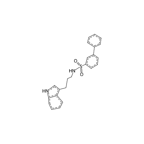 O=S(=O)(NCCCc1c[nH]c2ccccc12)c1cccc(-c2ccccc2)c1